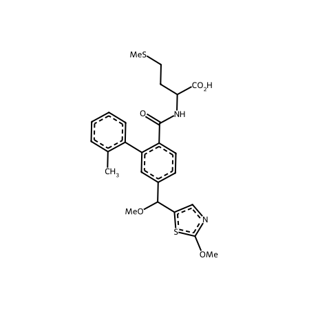 COc1ncc(C(OC)c2ccc(C(=O)NC(CCSC)C(=O)O)c(-c3ccccc3C)c2)s1